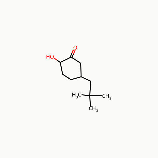 CC(C)(C)CC1CCC(O)C(=O)C1